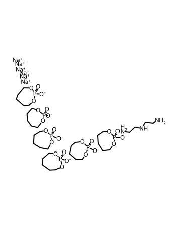 NCCNCCN.O=P1([O-])OCCCCCO1.O=P1([O-])OCCCCCO1.O=P1([O-])OCCCCCO1.O=P1([O-])OCCCCCO1.O=P1([O-])OCCCCCO1.O=P1([O-])OCCCCCO1.[Na+].[Na+].[Na+].[Na+].[Na+].[Na+]